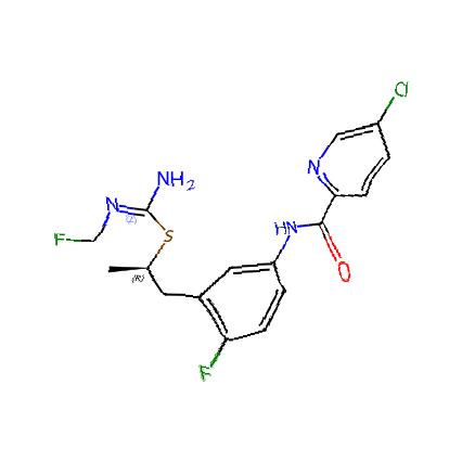 C[C@H](Cc1cc(NC(=O)c2ccc(Cl)cn2)ccc1F)S/C(N)=N\CF